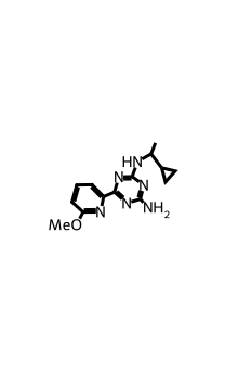 COc1cccc(-c2nc(N)nc(NC(C)C3CC3)n2)n1